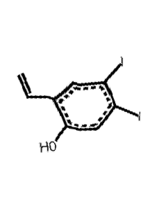 C=Cc1cc(I)c(I)cc1O